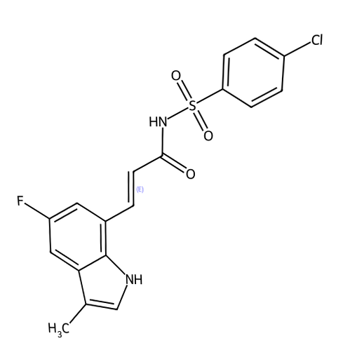 Cc1c[nH]c2c(/C=C/C(=O)NS(=O)(=O)c3ccc(Cl)cc3)cc(F)cc12